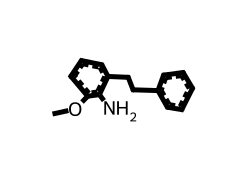 COc1cccc(CCc2ccccc2)c1N